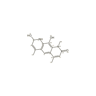 CC1=CC(O)Nc2c1cc1c(C)cc(=O)n(C)c1c2O